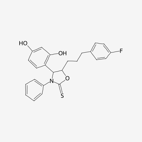 Oc1ccc(C2C(CCCc3ccc(F)cc3)OC(=S)N2c2ccccc2)c(O)c1